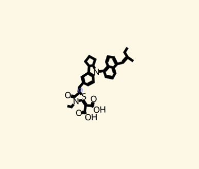 CCC(C)=Cc1cccc2c(N3c4ccc(/C=c5\sc(=C(C(=O)O)C(=O)O)n(CC)c5=O)cc4C4CCCC43)cccc12